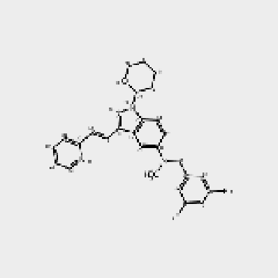 CN(Cc1cc(F)cc(F)c1)c1ccc2c(c1)c(/C=C/c1ccccn1)nn2C1CCCCO1